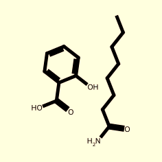 CCCCCCCC(N)=O.O=C(O)c1ccccc1O